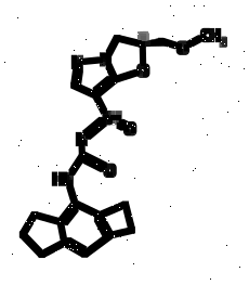 COC[C@@H]1Cn2ncc([SH](=O)=NC(=O)Nc3c4c(cc5c3CC5)CCC4)c2O1